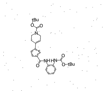 CC(C)(C)OC(=O)Nc1ccccc1NC(=O)c1ccc(C2=CCN(C(=O)OC(C)(C)C)CC2)s1